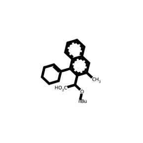 CCCCOC(C(=O)O)c1c(C)cc2ccccc2c1C1=CCCCC1